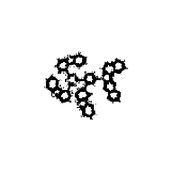 c1ccc2cc3c(cc2c1)c1c2ccccc2ccc1n3-c1ccc(-c2nc(-c3cccc4oc5ccccc5c34)nc(-c3cccc4oc5ccccc5c34)n2)c(-c2ccc3sc4ccccc4c3c2)c1